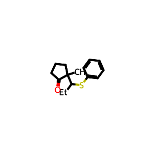 CCC(Sc1ccccc1)C1(C)CCCC1=O